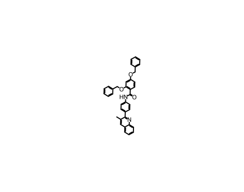 Cc1cc2ccccc2nc1-c1ccc(NC(=O)c2ccc(OCc3ccccc3)cc2OCc2ccccc2)cc1